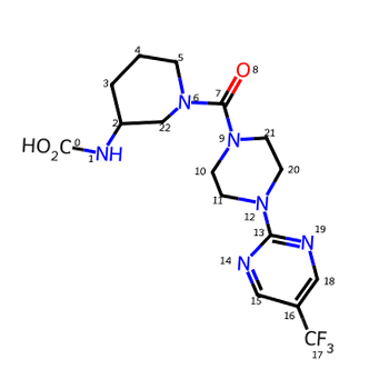 O=C(O)NC1CCCN(C(=O)N2CCN(c3ncc(C(F)(F)F)cn3)CC2)C1